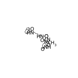 Cc1nc2cccc(NCCCCCNC(=O)C34CC5CC(CC(C5)C3)C4)c2c(=O)n1[C@@H]1CCC(=O)NC1=O